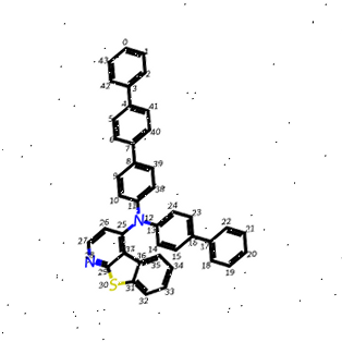 c1ccc(-c2ccc(-c3ccc(N(c4ccc(-c5ccccc5)cc4)c4ccnc5sc6ccccc6c45)cc3)cc2)cc1